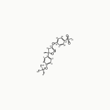 C[C@@]1(c2ccc(OC(F)(F)F)cc2)CC(Oc2ccc(S(C)(=O)=O)cc2)=NO1